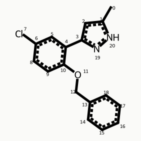 Cc1cc(-c2cc(Cl)ccc2OCc2ccccc2)n[nH]1